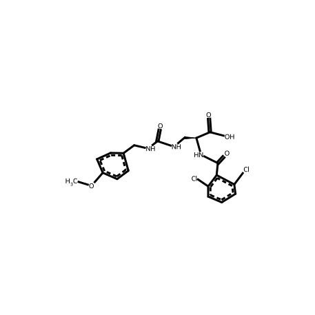 COc1ccc(CNC(=O)NC[C@H](NC(=O)c2c(Cl)cccc2Cl)C(=O)O)cc1